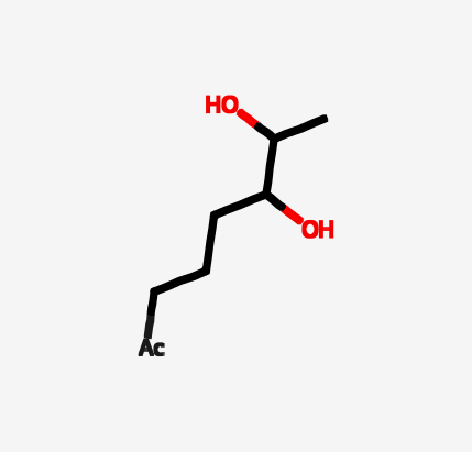 CC(=O)CCCC(O)C(C)O